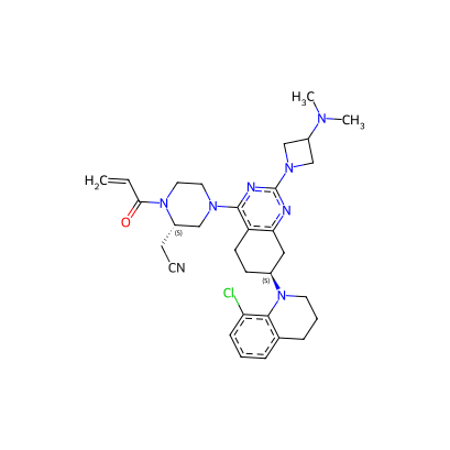 C=CC(=O)N1CCN(c2nc(N3CC(N(C)C)C3)nc3c2CC[C@H](N2CCCc4cccc(Cl)c42)C3)C[C@@H]1CC#N